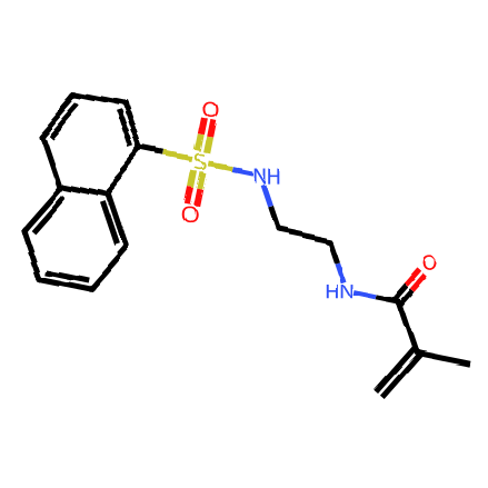 C=C(C)C(=O)NCCNS(=O)(=O)c1cccc2ccccc12